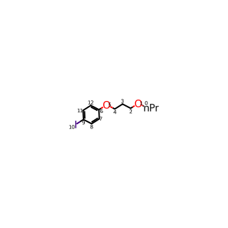 CCCOCCCOc1ccc(I)cc1